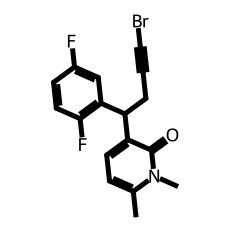 Cc1ccc(C(CC#CBr)c2cc(F)ccc2F)c(=O)n1C